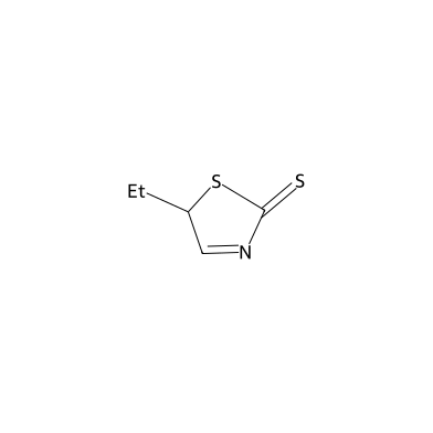 CCC1C=NC(=S)S1